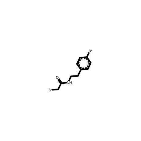 O=C(CBr)NCCc1ccc(Br)cc1